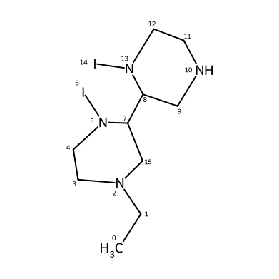 CCN1CCN(I)C(C2CNCCN2I)C1